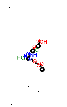 Cl.O=C(O)c1cccc(Oc2ccc(Nc3ncnc4ccn(CCOCCOC(=O)c5ccccc5)c34)cc2Cl)c1